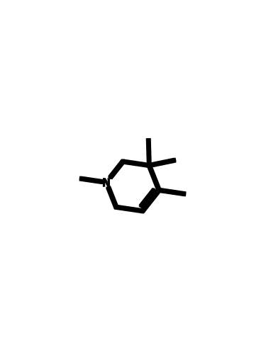 CC1=CCN(C)CC1(C)C